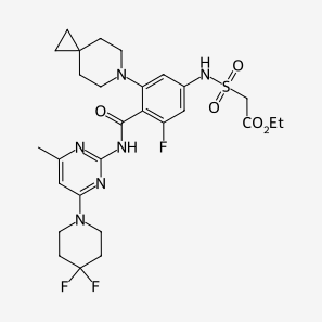 CCOC(=O)CS(=O)(=O)Nc1cc(F)c(C(=O)Nc2nc(C)cc(N3CCC(F)(F)CC3)n2)c(N2CCC3(CC2)CC3)c1